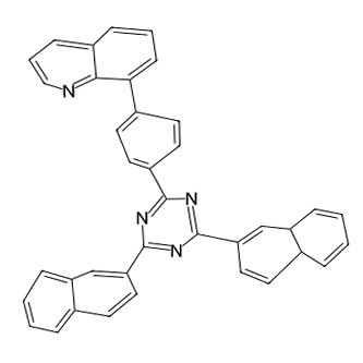 C1=CC2C=CC(c3nc(-c4ccc(-c5cccc6cccnc56)cc4)nc(-c4ccc5ccccc5c4)n3)=CC2C=C1